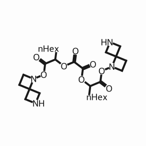 CCCCCCC(OC(=O)C(=O)OC(CCCCCC)C(=O)ON1CCC12CNC2)C(=O)ON1CCC12CNC2